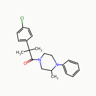 CC1CN(C(=O)C(C)(C)c2ccc(Cl)cc2)CCN1c1ccccc1